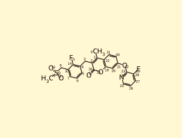 Cc1c(Cc2cccc(CS(C)(=O)=O)c2F)c(=O)oc2cc(Oc3ncccc3F)ccc12